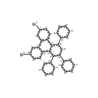 Brc1ccc2c(c1)c1cc(Br)ccc1c1c(-c3ccccc3)c(-c3ccccc3)cc(-c3ccccc3)c21